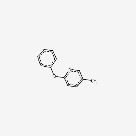 FC(F)(F)c1ccc(Oc2[c]cccc2)nc1